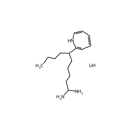 CCCCC(CCCCC(N)N)C1=CC=CC=CN1.[LiH]